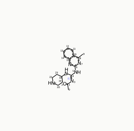 CC(=O)/N=C(/Nc1nc(C)c2ccccc2n1)NC1CCNCC1